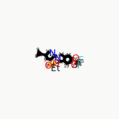 CCS(=O)(=O)c1cc(C2CC2)cnc1N1Cc2cc3c(cc2C1)OC(F)(F)O3